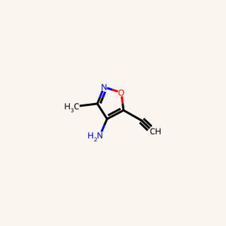 C#Cc1onc(C)c1N